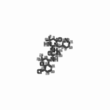 CC1(C)CC(=O)N([C@H](c2cccnc2)C2C[C@H]2C(=O)NC2CC(C)(C)Oc3c(Cl)cccc32)C(=N)N1